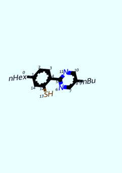 CCCCCCc1ccc(-c2ncc(CCCC)cn2)c(S)c1